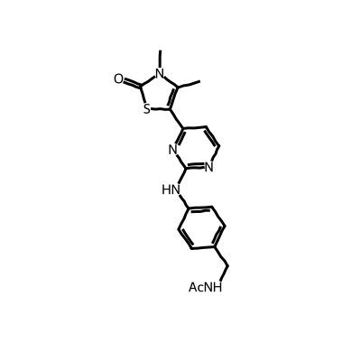 CC(=O)NCc1ccc(Nc2nccc(-c3sc(=O)n(C)c3C)n2)cc1